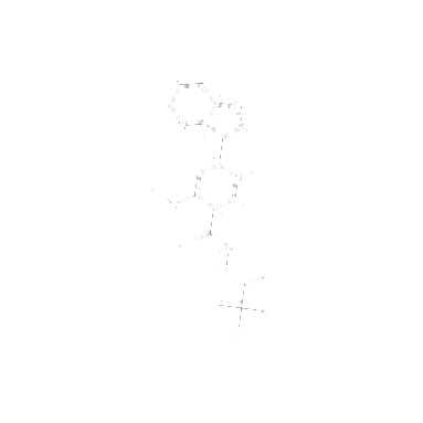 CC(C)Nc1cc(-c2cnc3cccnn23)ncc1C(=O)NCC(F)C(C)(C)O